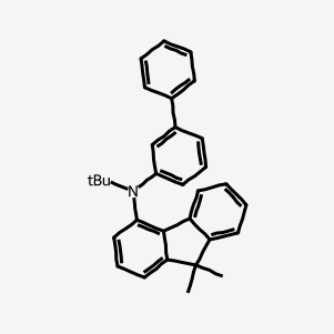 CC1(C)c2ccccc2-c2c(N(c3cccc(-c4ccccc4)c3)C(C)(C)C)cccc21